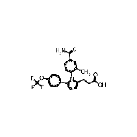 Cc1cc(C(N)=O)ccc1-n1c(CCC(=O)O)ccc1-c1ccc(OC(F)(F)F)cc1